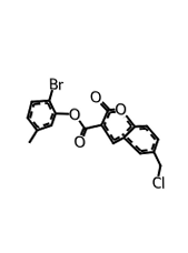 Cc1ccc(Br)c(OC(=O)c2cc3cc(CCl)ccc3oc2=O)c1